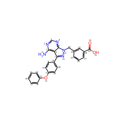 Nc1ncnc2c1c(-c1ccc(Oc3ccccc3)cc1)nn2Cc1cccc(C(=O)O)c1